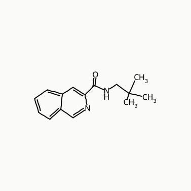 CC(C)(C)CNC(=O)c1cc2ccccc2cn1